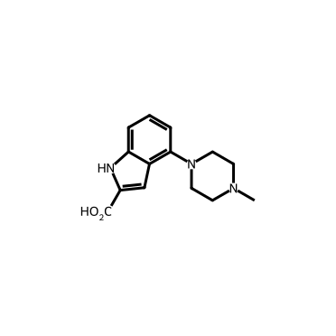 CN1CCN(c2cccc3[nH]c(C(=O)O)cc23)CC1